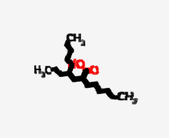 CCCCCCC(CC(CCC)CCCCC)C(=O)O